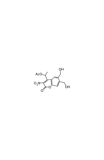 CC(=O)OC(C)c1c([N+](=O)[O-])c(=O)oc2cc(CO)c(CO)cc12